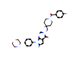 O=C(c1ccc(Cl)cc1)N1CCC(O)(Cn2cnc3c(cc(Cl)n3-c3ccc([C@H]4COCCN4)cc3)c2=O)CC1